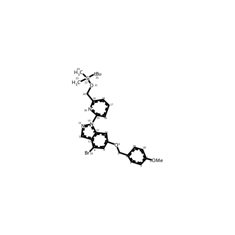 COc1ccc(COc2cc(Br)c3cnn(-c4cccc(CO[Si](C)(C)C(C)(C)C)n4)c3c2)cc1